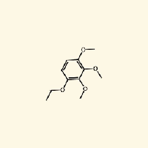 C[CH]Oc1ccc(OC)c(OC)c1OC